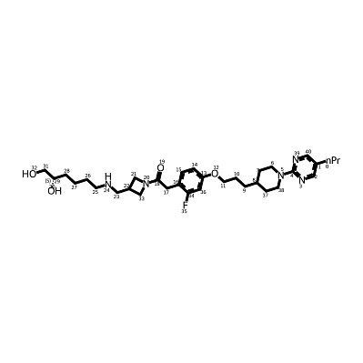 CCCc1cnc(N2CCC(CCCOc3ccc(CC(=O)N4CC(CNCCCC[C@H](O)CO)C4)c(F)c3)CC2)nc1